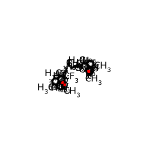 C[C@@H]1CC[C@H]2[C@@H](C)[C@](OCCN(C)CCO[C@@]3(C(F)(F)F)O[C@@H]4O[C@]5(C)CC[C@H]6[C@H](C)CC[C@@H]([C@H]3C)[C@@]46OO5)(C(F)(F)F)O[C@@H]3O[C@@]4(C)CC[C@@H]1[C@]32OO4